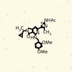 COc1ccc(CNc2nc(-c3sc(NC(C)=O)nc3C)cc3c2C(=O)N([C@@H](C)C2CC2)C3)c(OC)c1